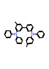 Cc1ccc(N(c2ccccc2)c2cccc(-c3cc(C)cc(N(c4ccccc4)c4ccccc4)c3)c2)cc1